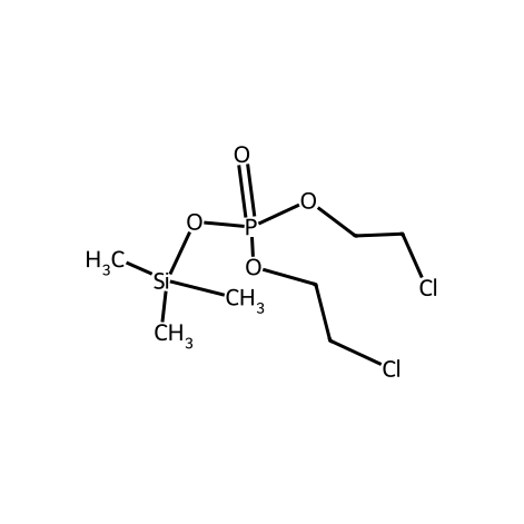 C[Si](C)(C)OP(=O)(OCCCl)OCCCl